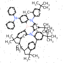 Cc1cc(C(C)(C)C)ccc1N1c2ccc(N(c3ccccc3)c3ccccc3)cc2B2c3cc4c5cc3N(c3ccc(C(C)(C)C)cc3-c3ccc6c(c3)C(C)(C)CC6(C)CC5(C)CC4(C)C)c3cc(C(C)(C)C)cc1c32